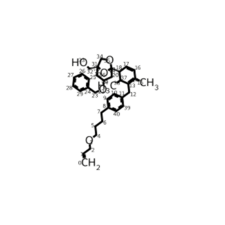 C=CCOCCCCc1ccc(CC2=C(C)C=CC([C@]34C[C@@H](OCc5ccccc5)C[C@](CO)(CO3)O4)C2C)cc1